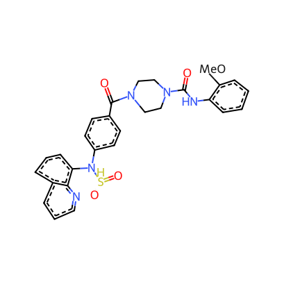 COc1ccccc1NC(=O)N1CCN(C(=O)c2ccc(N(c3cccc4cccnc34)[SH](=O)=O)cc2)CC1